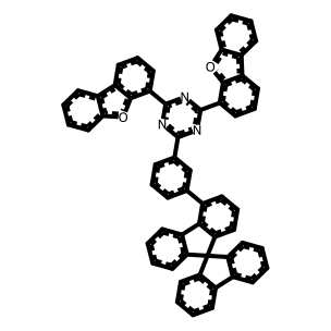 c1cc(-c2nc(-c3cccc4c3oc3ccccc34)nc(-c3cccc4c3oc3ccccc34)n2)cc(-c2cccc3c2-c2ccccc2C32c3ccccc3-c3ccccc32)c1